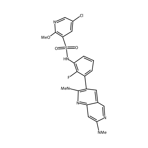 CNc1cc2nc(NC)c(-c3cccc(NS(=O)(=O)c4cc(Cl)cnc4OC)c3F)cc2cn1